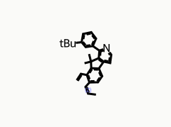 C=Cc1c(/C=C\C)ccc2c1C(C)(C)c1c-2ccnc1-c1cccc(C(C)(C)C)c1